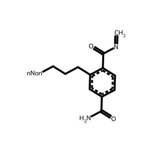 C=NC(=O)c1ccc(C(N)=O)cc1CCCCCCCCCCCC